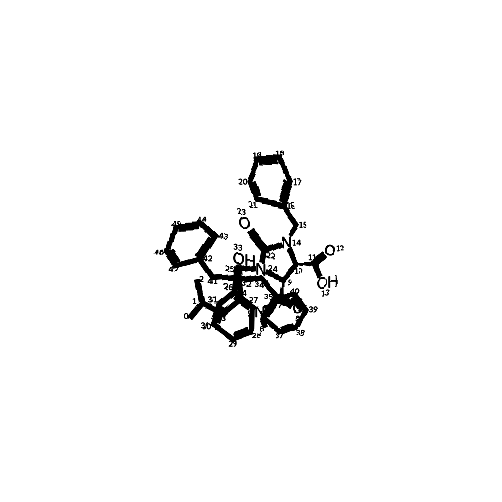 CC(C)CC(N(C)C(=O)[C@@H]1[C@H](C(=O)O)N(Cc2ccccc2)C(=O)N1Cc1ccccc1)C(O)(Cc1ccccc1)Cc1ccccc1